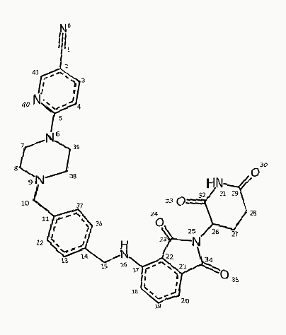 N#Cc1ccc(N2CCN(Cc3ccc(CNc4cccc5c4C(=O)N(C4CCC(=O)NC4=O)C5=O)cc3)CC2)nc1